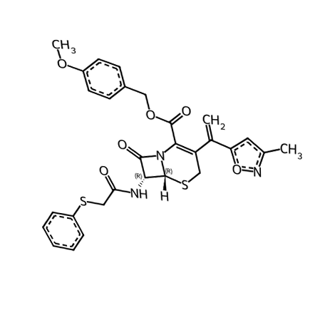 C=C(C1=C(C(=O)OCc2ccc(OC)cc2)N2C(=O)[C@@H](NC(=O)CSc3ccccc3)[C@H]2SC1)c1cc(C)no1